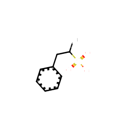 CCC(Cc1ccccc1)S([O])(=O)=O